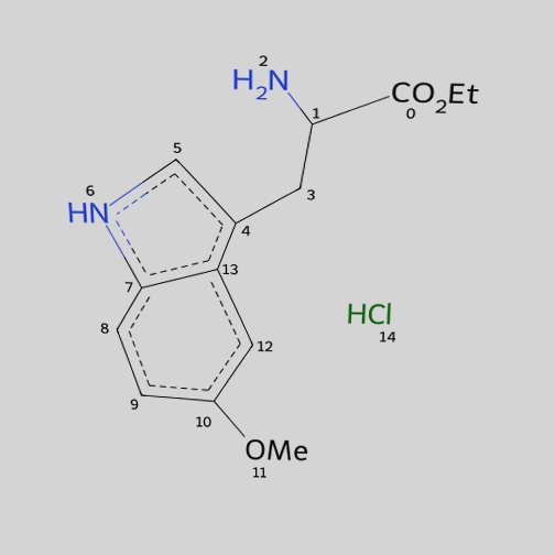 CCOC(=O)C(N)Cc1c[nH]c2ccc(OC)cc12.Cl